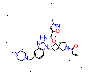 C=CC(=O)N1CC2C3[C@@H](n4c(NC(=O)c5cc(C)no5)nc5cc(CN6CCN(C)CC6)ccc54)C[C@@]23C1